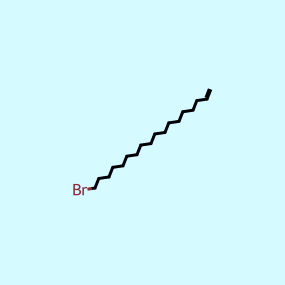 C=CCCCCCCCCCCCCCCCCBr